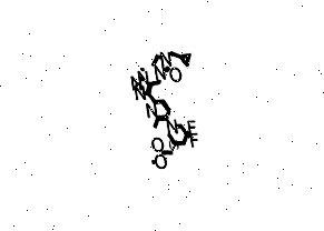 COC(=O)C[C@@H]1CN(c2ccc(-c3nnn(C)c3CN3CCN(CC4CC4)C3=O)nc2C)CC(F)(F)C1